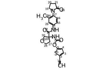 C#Cc1ccc(OC(=O)NC2(C(=O)Nc3ccc(N4CCCC4=O)c(C)c3)CCOC2)s1